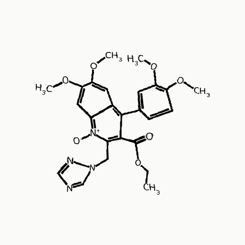 CCOC(=O)c1c(-c2ccc(OC)c(OC)c2)c2cc(OC)c(OC)cc2[n+]([O-])c1Cn1cncn1